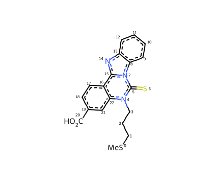 CSCCCn1c(=S)n2c3ccccc3nc2c2ccc(C(=O)O)cc21